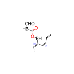 C=C/C=C\C(BOC(=O)BC=O)=C/C